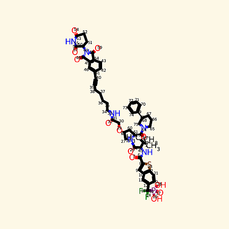 CC(C)(C)C(NC(=O)c1cc2cc(C(F)(F)P(=O)(O)O)ccc2s1)C(=O)N1C[C@@H](OCC(=O)NCCCCCC#Cc2ccc3c(c2)C(=O)N(C2CCC(=O)NC2=O)C3=O)C[C@H]1C(=O)N1CCC[C@H](c2ccccc2)C1